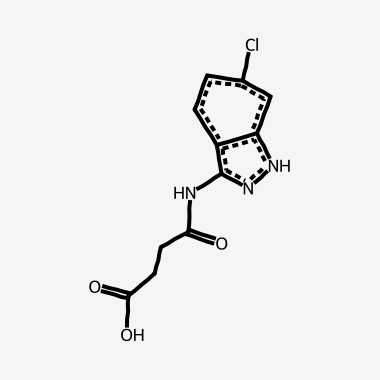 O=C(O)CCC(=O)Nc1n[nH]c2cc(Cl)ccc12